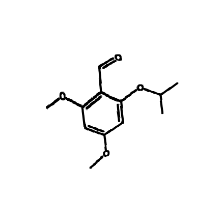 COc1cc(OC)c(C=O)c(OC(C)C)c1